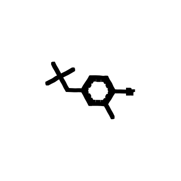 Cc1cc(CC(C)(C)C)ccc1Br